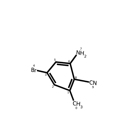 Cc1cc(Br)cc(N)c1C#N